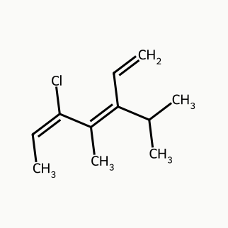 C=C/C(=C(C)\C(Cl)=C/C)C(C)C